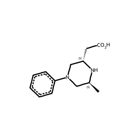 C[C@H]1CN(c2ccccc2)C[C@H](CC(=O)O)N1